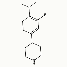 CC(C)C1=C(F)C=C(C2CCNCC2)CC1